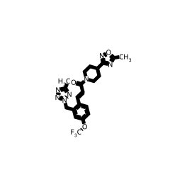 Cc1nnn(Cc2cc(OC(F)(F)F)ccc2C=CC(=O)N2CCC(c3noc(C)n3)CC2)n1